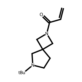 C=CC(=O)N1CC2(CCN(C(C)(C)C)C2)C1